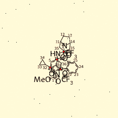 COC(=O)c1ccc(NC(=O)N2C3CCC2CC(OCc2c(-c4ccccc4OC(F)(F)F)noc2C2CC2)C3)cc1OC(F)(F)F